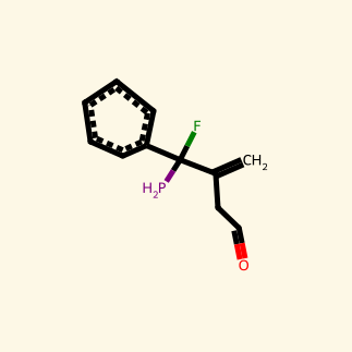 C=C(CC=O)C(F)(P)c1ccccc1